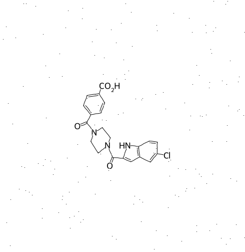 O=C(O)c1ccc(C(=O)N2CCN(C(=O)c3cc4cc(Cl)ccc4[nH]3)CC2)cc1